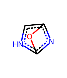 c1[nH]c2nc1O2